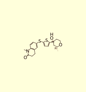 C[C@@H]1C[C@@](O)(c2ccc(Sc3ccc4c(c3)CCC(=O)N4C)s2)CCO1